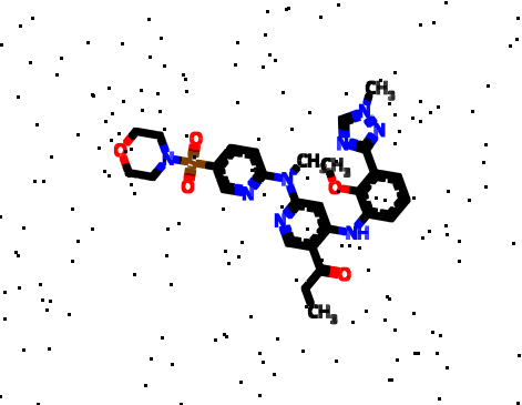 CCC(=O)c1cnc(N(C)c2ccc(S(=O)(=O)N3CCOCC3)cn2)cc1Nc1cccc(-c2ncn(C)n2)c1OC